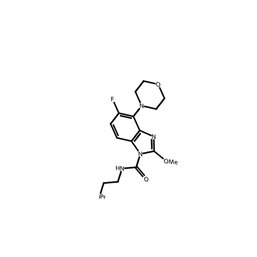 COc1nc2c(N3CCOCC3)c(F)ccc2n1C(=O)NCCC(C)C